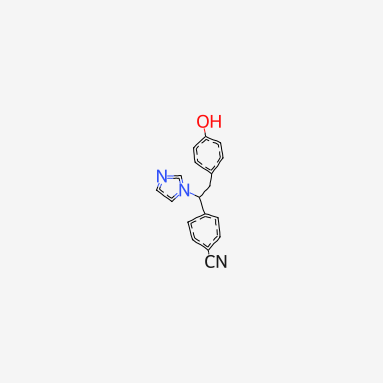 N#Cc1ccc(C(Cc2ccc(O)cc2)n2ccnc2)cc1